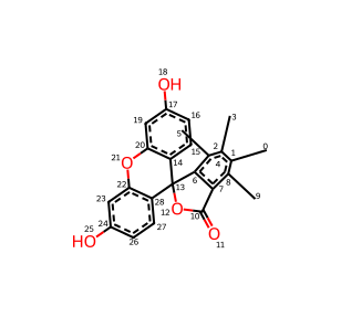 Cc1c(C)c(C)c2c(c1C)C(=O)OC21c2ccc(O)cc2Oc2cc(O)ccc21